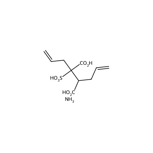 C=CCC(C(=O)O)C(CC=C)(C(=O)O)S(=O)(=O)O.N